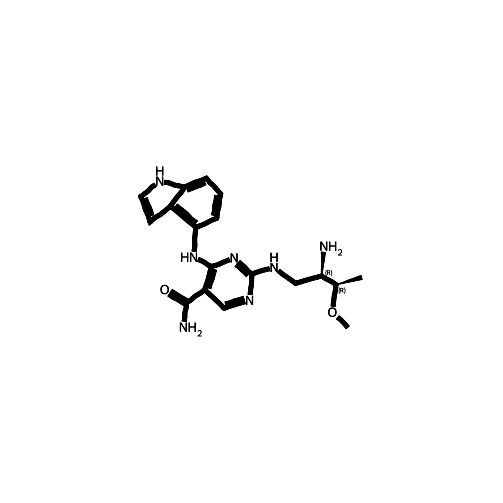 CO[C@H](C)[C@H](N)CNc1ncc(C(N)=O)c(Nc2cccc3[nH]ccc23)n1